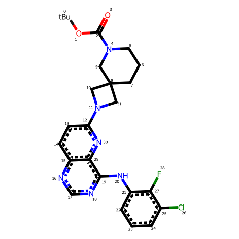 CC(C)(C)OC(=O)N1CCCC2(C1)CN(c1ccc3ncnc(Nc4cccc(Cl)c4F)c3n1)C2